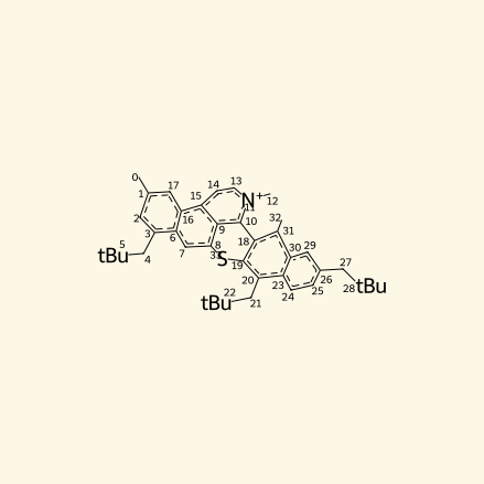 Cc1cc(CC(C)(C)C)c2cc3c4c([n+](C)ccc4c2c1)-c1c(c(CC(C)(C)C)c2ccc(CC(C)(C)C)cc2c1C)S3